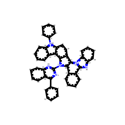 c1ccc(-c2nc(-n3c4c(ccc5c4c4ccccc4n5-c4ccccc4)c4c3c3ccccc3c3nc5ccccc5n34)nc3ccccc23)cc1